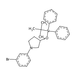 CC(C)(C)[Si](OC1CCN(c2cccc(Br)c2)C1)(c1ccccc1)c1ccccc1